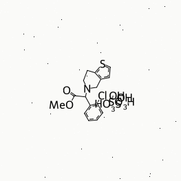 COC(=O)C(c1ccccc1Cl)N1CCc2sccc2C1.O=S(=O)(O)O.O=S(=O)(O)O